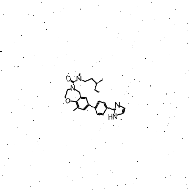 CCC(C)CCN(C)C(=O)N1CCOc2c(C)cc(-c3ccc(-c4ncc[nH]4)cc3)cc2C1